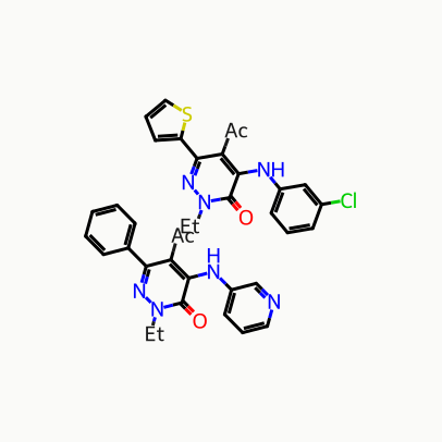 CCn1nc(-c2ccccc2)c(C(C)=O)c(Nc2cccnc2)c1=O.CCn1nc(-c2cccs2)c(C(C)=O)c(Nc2cccc(Cl)c2)c1=O